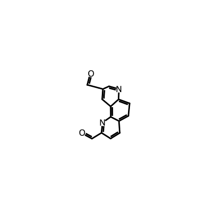 O=Cc1cnc2ccc3ccc(C=O)nc3c2c1